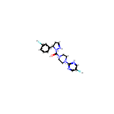 O=C(N1CCN(c2ncc(F)cn2)CC1)N1N=CCC1c1cccc(F)c1